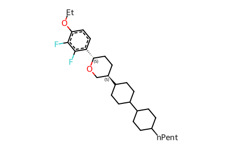 CCCCCC1CCC(C2CCC([C@@H]3CC[C@@H](c4ccc(OCC)c(F)c4F)OC3)CC2)CC1